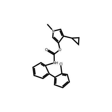 Cn1cc(OC(=O)Nc2ccccc2-c2ccccc2Cl)c(C2CC2)c1